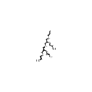 CCCSCC(CSCC(CSCCS)SCCS)SCCS